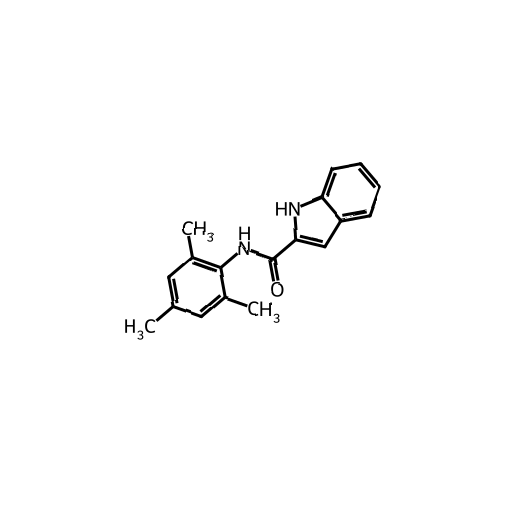 Cc1cc(C)c(NC(=O)c2cc3ccccc3[nH]2)c(C)c1